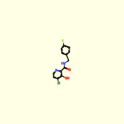 O=C(NCc1ccc(F)cc1)c1nccc(Cl)c1O